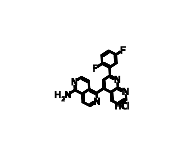 Cl.Nc1nccc2c(-c3cc(-c4cc(F)ccc4F)nc4ncccc34)nccc12